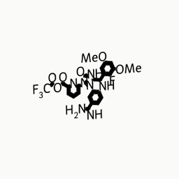 COc1cc(OC)c(F)c(C(Nc2ccc(C(=N)N)cc2)c2nn(-c3cccc(C(=O)OC(=O)C(F)(F)F)n3)c(=O)[nH]2)c1